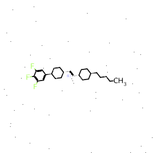 CCCCC[C@H]1CC[C@H](/C=C/[C@H]2CC[C@H](c3cc(F)c(F)c(F)c3)CC2)CC1